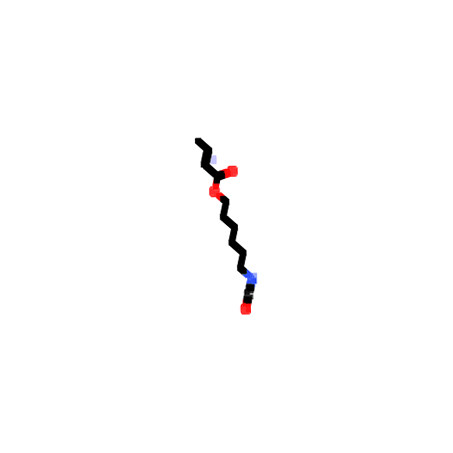 C/C=C/C(=O)OCCCCCCN=C=O